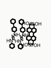 O=C(O)c1ccc2c3ccc(C(=O)O)c4c(C(=O)O)ccc(c5ccc(C(=O)O)c1c25)c43.c1ccc(NN=NNc2ccc(-c3ccccc3)cc2)cc1.c1ccc(NN=NNc2ccc(-c3ccccc3)cc2)cc1